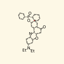 CCN(CC)c1ccc2nc3c4cc(OP(=O)(c5ccccc5)c5ccccc5)ccc4c(=O)cc-3oc2c1